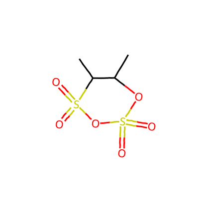 CC1OS(=O)(=O)OS(=O)(=O)C1C